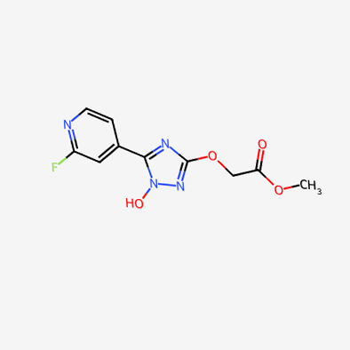 COC(=O)COc1nc(-c2ccnc(F)c2)n(O)n1